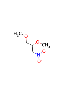 COCC(C[N+](=O)[O-])OC